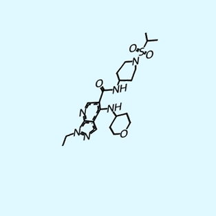 CCn1ncc2c(NC3CCOCC3)c(C(=O)NC3CCN(S(=O)(=O)C(C)C)CC3)cnc21